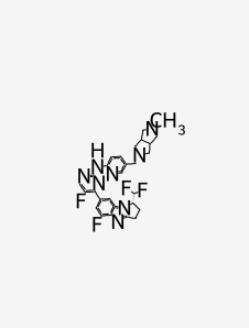 CN1CC2CN(Cc3ccc(Nc4ncc(F)c(-c5cc(F)c6nc7n(c6c5)[C@H](C(F)F)CC7)n4)nc3)CC2C1